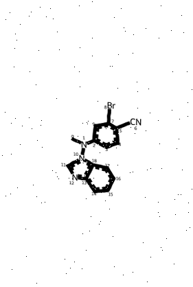 CN(c1ccc(C#N)c(Br)c1)n1cnc2ccccc21